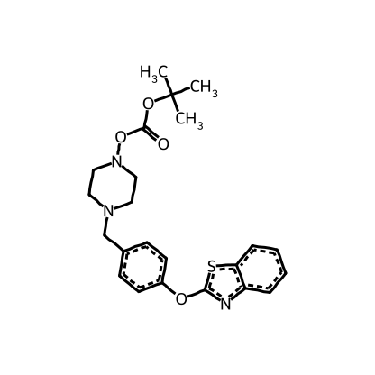 CC(C)(C)OC(=O)ON1CCN(Cc2ccc(Oc3nc4ccccc4s3)cc2)CC1